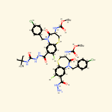 CC(C)(C#N)NC(=O)NNC(=O)c1cc2c(cc1F)SC[C@H](NC(=O)OC(C)(C)C)C(=O)N2Cc1ccc(Cl)cc1.CC(C)(C)OC(=O)N[C@H]1CSc2cc(F)c(C(=O)NN)cc2N(Cc2ccc(Cl)cc2)C1=O